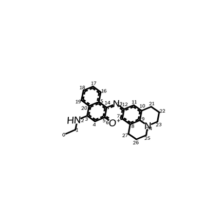 CCNc1cc2[o+]c3c4c5c(cc3nc2c2ccccc12)CCCN5CCC4